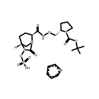 CC(C)(C)OC(=O)N1CCC[C@H]1CONC(=O)[C@@H]1CC[C@@H]2CN1C(=O)N2OS(=O)(=O)O.c1ccncc1